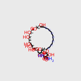 C[C@H]1C[C@H](O)[C@@H](C)/C=C/C=C/C=C/C=C/C=C/C=C/C=C/C(O[C@@H]2OC[C@@H](O)[C@H](N)[C@@H]2O)C[C@@H]2OC(O)(CC(O)CC(O)C(O)CCC(O)CC(O)CC(=O)O1)C[C@H](O)[C@H]2C(=O)N[C@@H]1CCOC1